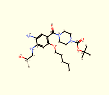 CCCCCOc1cc(NC[C@H](C)O)c(N)cc1C(=O)N1CCN(C(=O)OC(C)(C)C)CC1